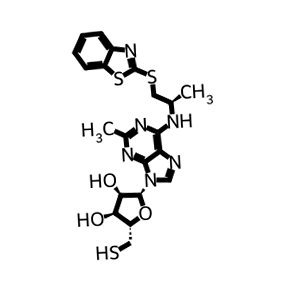 Cc1nc(N[C@H](C)CSc2nc3ccccc3s2)c2ncn([C@@H]3O[C@H](CS)[C@@H](O)[C@H]3O)c2n1